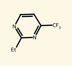 CCc1n[c]cc(C(F)(F)F)n1